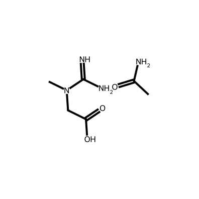 CC(N)=O.CN(CC(=O)O)C(=N)N